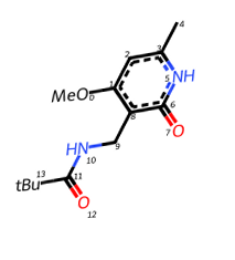 COc1cc(C)[nH]c(=O)c1CNC(=O)C(C)(C)C